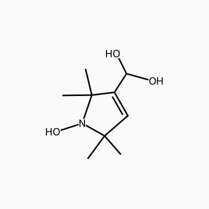 CC1(C)C=C(C(O)O)C(C)(C)N1O